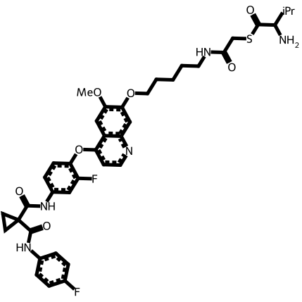 COc1cc2c(Oc3ccc(NC(=O)C4(C(=O)Nc5ccc(F)cc5)CC4)cc3F)ccnc2cc1OCCCCCNC(=O)CSC(=O)C(N)C(C)C